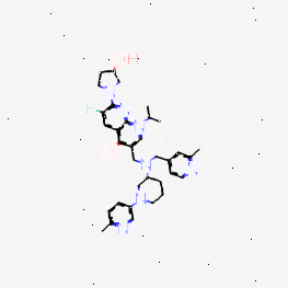 Cc1ccc(N2CCC[C@H](N(Cc3ccnc(C)c3)Cc3cn(C(C)C)c4nc(N5CC[C@@H](O)C5)c(F)cc4c3=O)C2)cn1